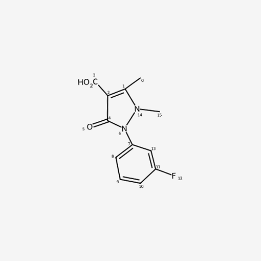 Cc1c(C(=O)O)c(=O)n(-c2cccc(F)c2)n1C